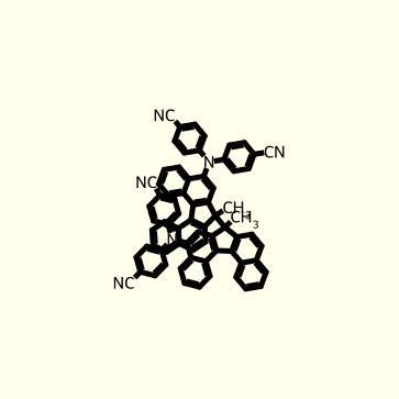 CC1(C2(C)c3ccc4ccccc4c3-c3c2cc(N(c2ccc(C#N)cc2)c2ccc(C#N)cc2)c2ccccc32)c2ccc3ccccc3c2-c2c1cc(N(c1ccc(C#N)cc1)c1ccc(C#N)cc1)c1ccccc21